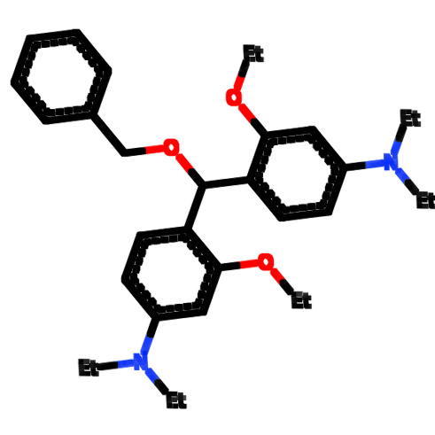 CCOc1cc(N(CC)CC)ccc1C(OCc1ccccc1)c1ccc(N(CC)CC)cc1OCC